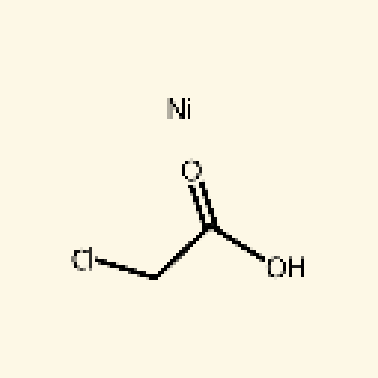 O=C(O)CCl.[Ni]